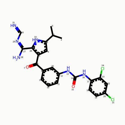 CC(C)c1cc(C(=O)c2cccc(NC(=O)Nc3ccc(Cl)cc3Cl)c2)c(/C(N)=N\C=N)[nH]1